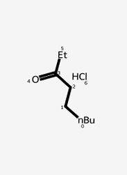 CCCCCCC(=O)CC.Cl